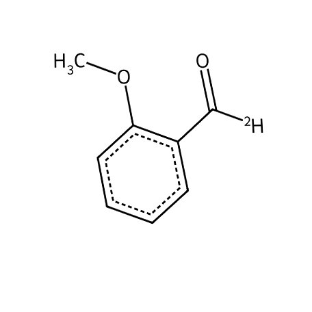 [2H]C(=O)c1ccccc1OC